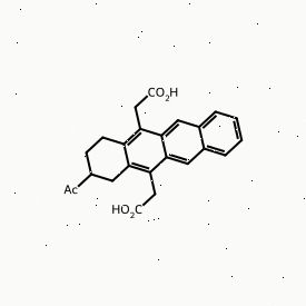 CC(=O)C1CCc2c(c(CC(=O)O)c3cc4ccccc4cc3c2CC(=O)O)C1